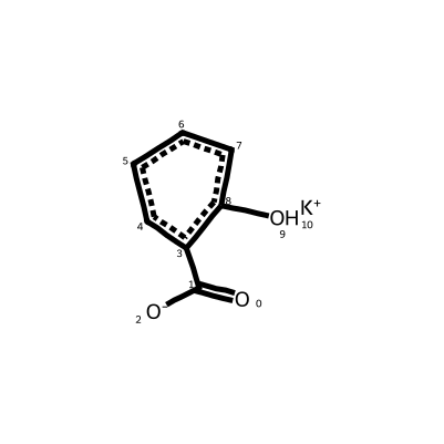 O=C([O-])c1ccccc1O.[K+]